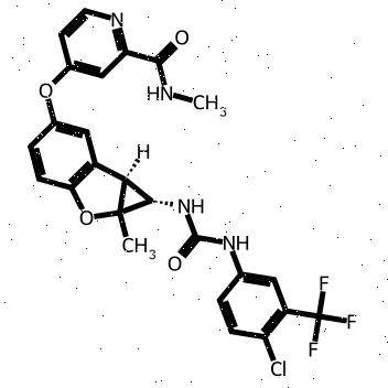 CNC(=O)c1cc(Oc2ccc3c(c2)[C@H]2[C@H](NC(=O)Nc4ccc(Cl)c(C(F)(F)F)c4)C2(C)O3)ccn1